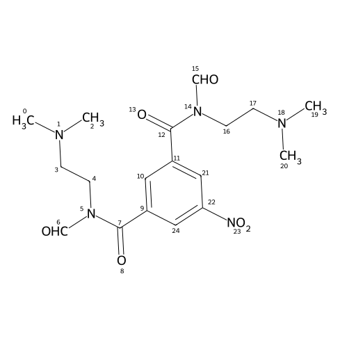 CN(C)CCN(C=O)C(=O)c1cc(C(=O)N(C=O)CCN(C)C)cc([N+](=O)[O-])c1